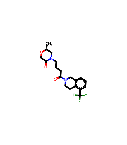 C[C@H]1CN(CCCC(=O)N2CCc3c(cccc3C(F)(F)F)C2)C(=O)CO1